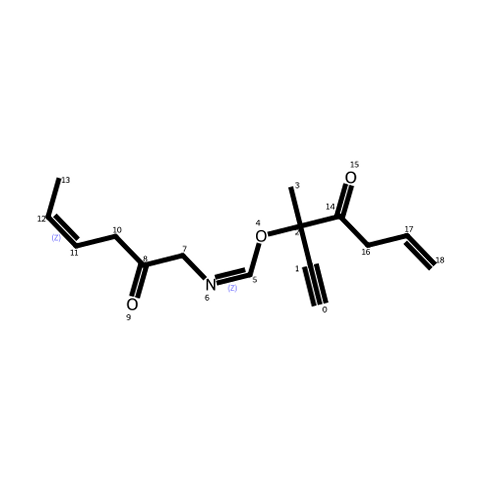 C#CC(C)(O/C=N\CC(=O)C/C=C\C)C(=O)CC=C